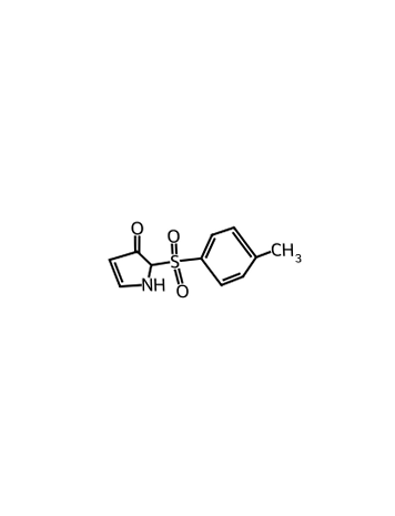 Cc1ccc(S(=O)(=O)C2NC=CC2=O)cc1